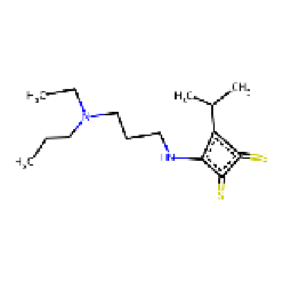 CCCN(CC)CCCNc1c(C(C)C)c(=S)c1=S